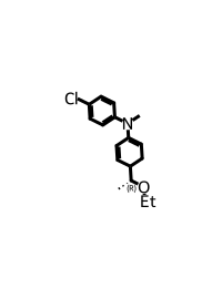 CCO[C@H](C)C1C=CC(N(C)c2ccc(Cl)cc2)=CC1